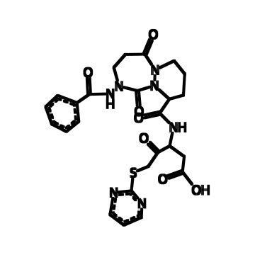 O=C(O)CC(NC(=O)C1CCCN2C(=O)CCN(NC(=O)c3ccccc3)C(=O)N12)C(=O)CSc1ncccn1